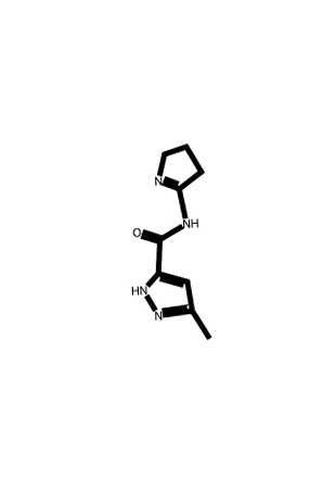 Cc1cc(C(=O)NC2=NCCC2)[nH]n1